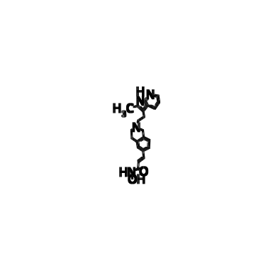 Cc1[nH]c2ncccc2c1CCN1CCc2cc(C=CC(=O)NO)ccc2C1